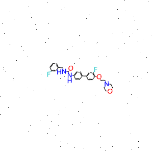 O=C(NCc1cccc(F)c1)Nc1ccc(-c2ccc(OCCN3CCOCC3)c(F)c2)cc1